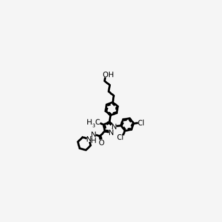 Cc1c(C(=O)NN2CCCCC2)nn(-c2ccc(Cl)cc2Cl)c1-c1ccc(CCCCO)cc1